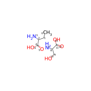 CCC(N)C(=O)O.NC(CO)C(=O)O